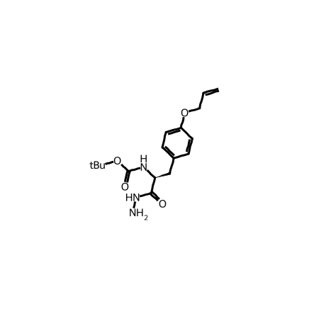 C=CCOc1ccc(C[C@H](NC(=O)OC(C)(C)C)C(=O)NN)cc1